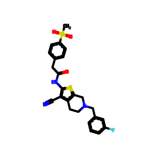 CS(=O)(=O)c1ccc(CC(=O)Nc2sc3c(c2C#N)CCN(Cc2cccc(F)c2)C3)cc1